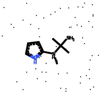 C[SiH](c1ccc[nH]1)C(C)(C)[SiH3]